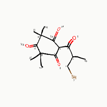 CC(CS)C(=O)C1C(=O)C(C)(C)C(=O)C(C)(C)C1=O